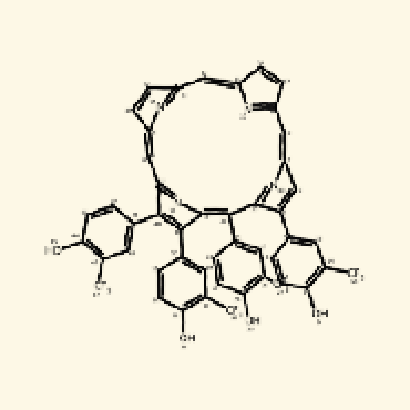 Oc1ccc(C2=CC3=CC4=NC(=CC5=NC(=CC6=NC(=C(c7ccc(O)c(C(F)(F)F)c7)C2=N3)C(c2ccc(O)c(C(F)(F)F)c2)=C6c2ccc(O)c(C(F)(F)F)c2)C=C5)C=C4)cc1C(F)(F)F